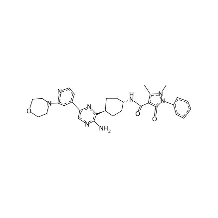 Cc1c(C(=O)N[C@H]2CC[C@H](c3nc(-c4ccnc(N5CCOCC5)c4)cnc3N)CC2)c(=O)n(-c2ccccc2)n1C